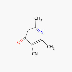 CC1=NC(C)=C(C#N)C(=O)C1